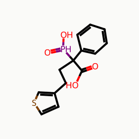 O=C(O)C(CCc1ccsc1)(c1ccccc1)[PH](=O)O